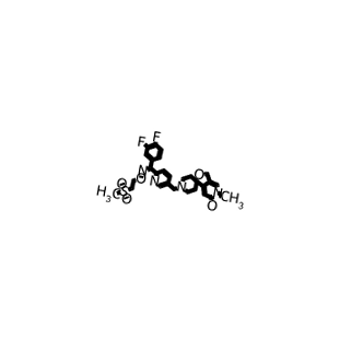 Cn1cc2c(cc1=O)C1(CCN(Cc3ccc(/C(=N\OCCS(C)(=O)=O)c4ccc(F)c(F)c4)nc3)CC1)OC2